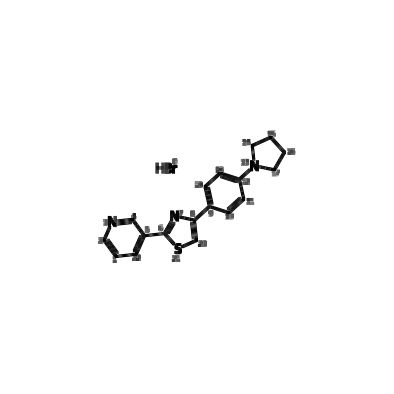 Br.c1cncc(-c2nc(-c3ccc(N4CCCC4)cc3)cs2)c1